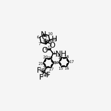 O=C(O[C@H]1CN2CCC1CC2)C(Nc1ccccc1)c1ccc(C(F)(F)F)cc1